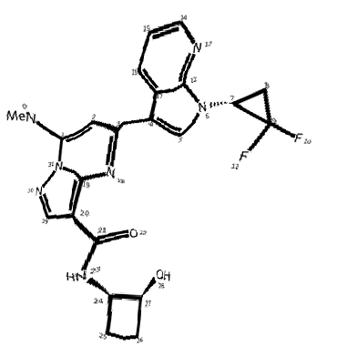 CNc1cc(-c2cn([C@@H]3CC3(F)F)c3ncccc23)nc2c(C(=O)N[C@@H]3CC[C@@H]3O)cnn12